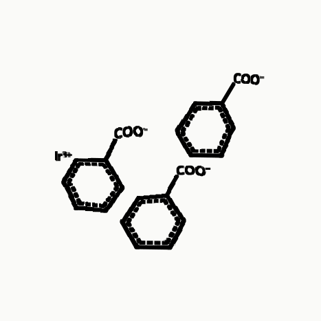 O=C([O-])c1ccccc1.O=C([O-])c1ccccc1.O=C([O-])c1ccccc1.[Ir+3]